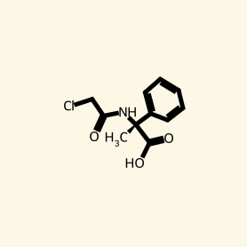 C[C@](NC(=O)CCl)(C(=O)O)c1ccccc1